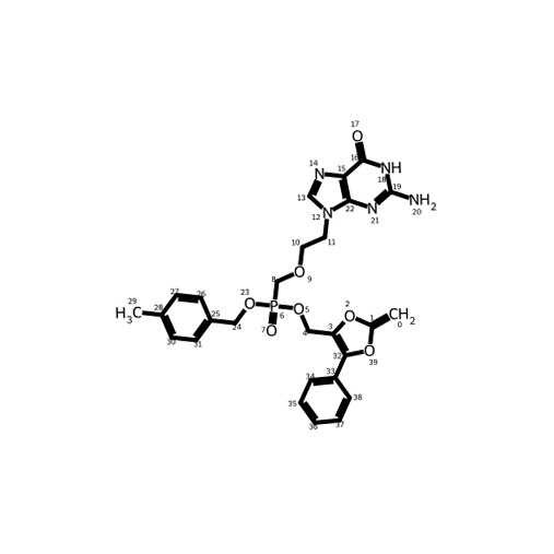 C=C1OC(COP(=O)(COCCn2cnc3c(=O)[nH]c(N)nc32)OCc2ccc(C)cc2)=C(c2ccccc2)O1